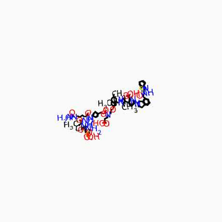 Cc1c(-c2ccc(N3CCc4cccc(C(=O)Nc5nc6ccccc6s5)c4C3)nc2C(=O)O)cnn1CC12CC3(C)CC(C)(C1)CC(OCCN(CCC(=O)O)C(=O)OCc1ccc(NC(=O)C(CCCNC(N)=O)NC(=O)C(NC(=O)C(N)CS(=O)(=O)O)C(C)C)cc1)(C3)C2